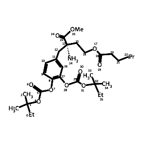 CCC(C)(C)OC(=O)Oc1ccc(C[C@](N)(CCOC(=O)CCC(C)C)C(=O)OC)cc1OC(=O)OC(C)(C)CC